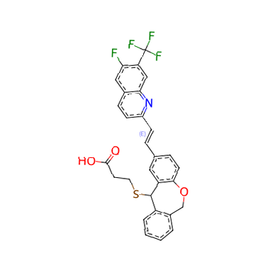 O=C(O)CCSC1c2ccccc2COc2ccc(/C=C/c3ccc4cc(F)c(C(F)(F)F)cc4n3)cc21